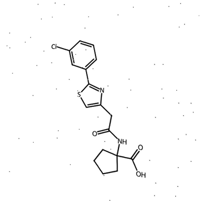 O=C(Cc1csc(-c2cccc(Cl)c2)n1)NC1(C(=O)O)CCCC1